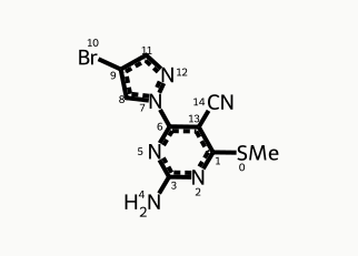 CSc1nc(N)nc(-n2cc(Br)cn2)c1C#N